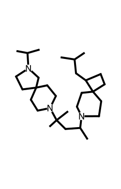 CC(C)CC1CCC12CCN(C(C)CC(C)(C)N1CCC3(CCN(C(C)C)C3)CC1)CC2